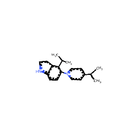 CC(C)c1cc[n+](-c2ccc3[nH]ccc3c2C(C)C)cc1